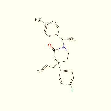 C=CCC1(c2ccc(F)cc2)CCN([C@@H](C)c2ccc(C)cc2)C(=O)C1